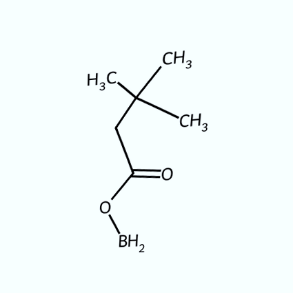 BOC(=O)CC(C)(C)C